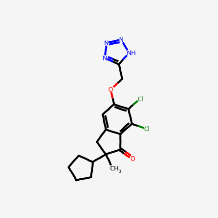 CC1(C2CCCC2)Cc2cc(OCc3nnn[nH]3)c(Cl)c(Cl)c2C1=O